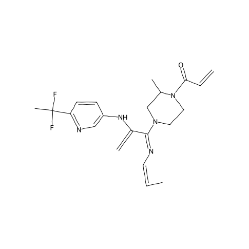 C=CC(=O)N1CCN(/C(=N/C=C\C)C(=C)Nc2ccc(C(C)(F)F)nc2)CC1C